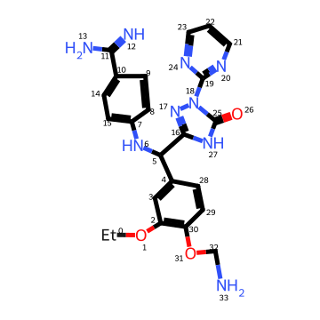 CCOc1cc(C(Nc2ccc(C(=N)N)cc2)c2nn(-c3ncccn3)c(=O)[nH]2)ccc1OCN